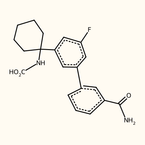 NC(=O)c1cccc(-c2cc(F)cc(C3(NC(=O)O)CCCCC3)c2)c1